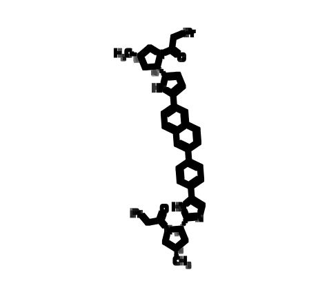 CC(C)CC(=O)N1C[C@@H](C)C[C@H]1c1ccc(-c2ccc3cc(-c4ccc(-c5cnc([C@@H]6C[C@H](C)CN6C(=O)CC(C)C)[nH]5)cc4)ccc3c2)[nH]1